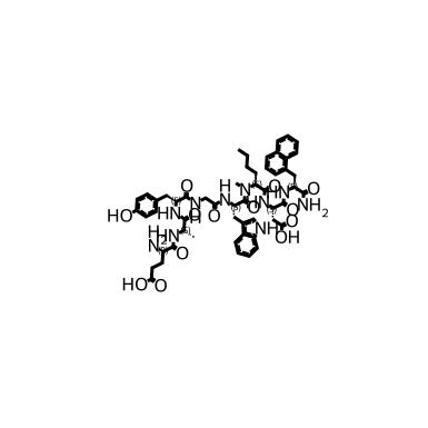 CCCC[C@@H](C(=O)N[C@@H](CC(=O)O)C(=O)N[C@@H](Cc1cccc2ccccc12)C(N)=O)N(C)C(=O)[C@H](Cc1c[nH]c2ccccc12)NC(=O)CNC(=O)[C@H](Cc1ccc(O)cc1)NC(=O)[C@H](C)NC(=O)[C@H](N)CCC(=O)O